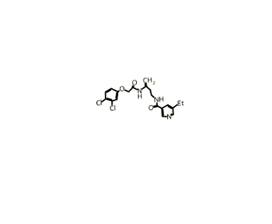 C=C(CCNC(=O)c1cncc(CC)c1)NC(=O)COc1ccc(Cl)c(Cl)c1